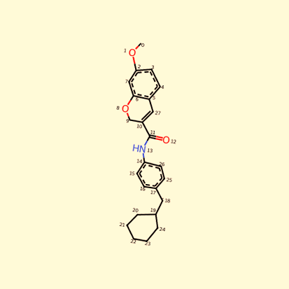 COc1ccc2c(c1)OCC(C(=O)Nc1ccc([CH]C3CCCCC3)cc1)=C2